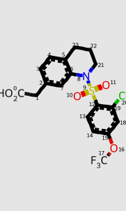 O=C(O)Cc1ccc2c(c1)N(S(=O)(=O)c1ccc(OC(F)(F)F)cc1Cl)CCC2